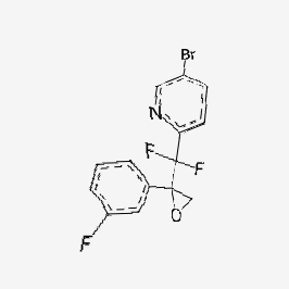 Fc1cccc(C2(C(F)(F)c3ccc(Br)cn3)CO2)c1